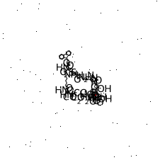 Nc1nc(=O)n([C@H]2CC(O)[C@@H](COP(=O)(O)OP(=O)(O)OP(=O)(O)O)O2)cc1C#CCNC(=O)CCSSCC(NC(=O)OCC1c2ccccc2-c2ccccc21)C(=O)NCCCCCC(=O)NC(CC(=O)O)C(=O)NC(CC(=O)O)C(=O)O